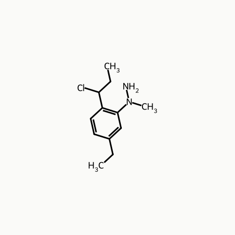 CCc1ccc(C(Cl)CC)c(N(C)N)c1